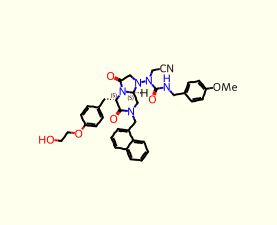 COc1ccc(CNC(=O)N(CC#N)N2CC(=O)N3[C@@H](Cc4ccc(OCCO)cc4)C(=O)N(Cc4cccc5ccccc45)C[C@@H]32)cc1